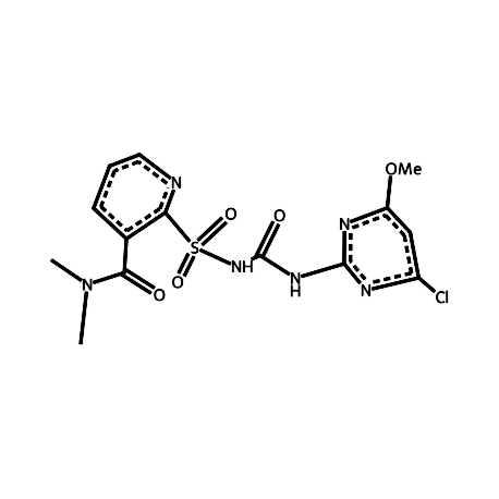 COc1cc(Cl)nc(NC(=O)NS(=O)(=O)c2ncccc2C(=O)N(C)C)n1